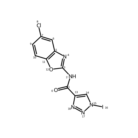 O=C(Nc1nc2cc(Cl)ccc2o1)c1cn(I)nn1